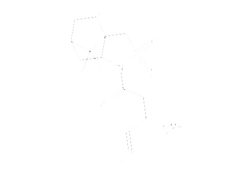 C/C=C/[C@@H](OC)[C@@H](C)C(=O)N1C2CC3CCC2(CS1(=O)=O)C3(C)C